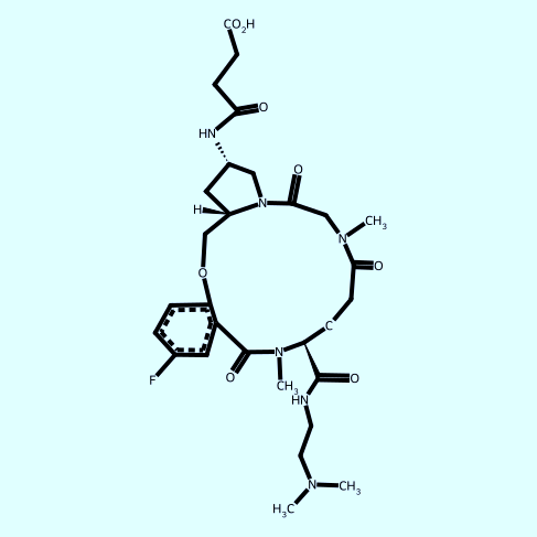 CN(C)CCNC(=O)[C@@H]1CCC(=O)N(C)CC(=O)N2C[C@@H](NC(=O)CCC(=O)O)C[C@H]2COc2ccc(F)cc2C(=O)N1C